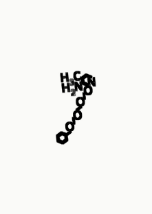 Cc1ccnc(OCCOCCOCCOCc2ccccc2)c1N